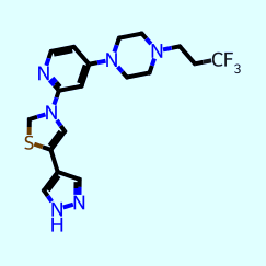 FC(F)(F)CCN1CCN(c2ccnc(N3C=C(c4cn[nH]c4)SC3)c2)CC1